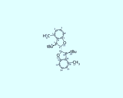 Cc1cccc2c1[P@](C(C)(C)C)C([C@H]1Oc3cccc(C)c3[P@]1C(C)(C)C)O2